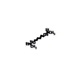 CC/C(C)=N\OCCCCCCO/N=C(\C)CC